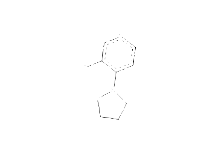 Fc1cnccc1N1CCCC1